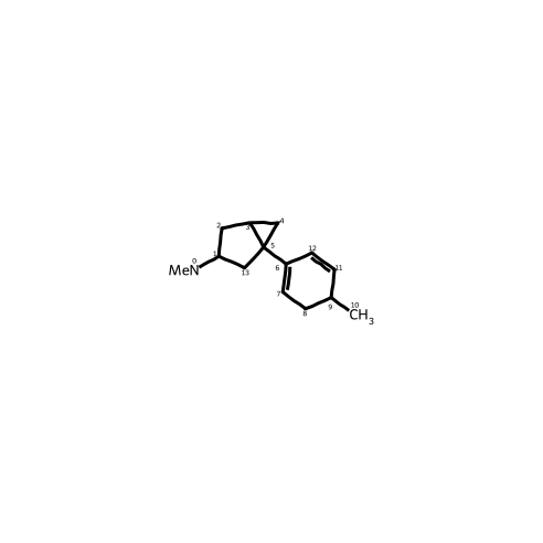 CNC1CC2CC2(C2=CCC(C)C=C2)C1